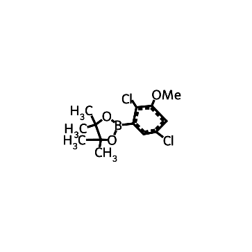 COc1cc(Cl)cc(B2OC(C)(C)C(C)(C)O2)c1Cl